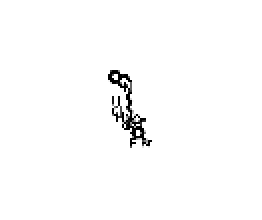 Cl.O=S(=O)(NCCCCCN1CCc2ccccc2C1)c1cc(F)c(Br)cc1F